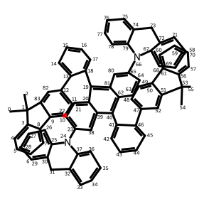 CC1(C)c2ccccc2-c2ccc(-c3ccccc3-c3c4ccc(N5c6ccccc6Cc6ccccc65)cc4c(-c4ccccc4-c4ccc5c(c4)C(C)(C)c4ccccc4-5)c4ccc(N5c6ccccc6Cc6ccccc65)cc34)cc21